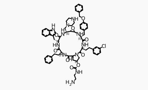 NCCNC(=O)O[C@@H]1C[C@H]2C(=O)N[C@@H](CCc3ccccc3)C(=O)N[C@H](Cc3c[nH]c4ccccc34)C(=O)N[C@@H](CN3CCNCC3)C3OC3N[C@@H](Cc3ccc(OCc4ccccc4)cc3)C(=O)N[C@@H](CCc3cccc(Cl)c3)C(=O)N2C1